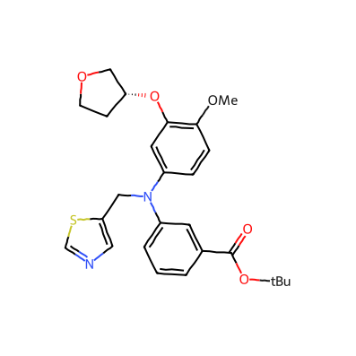 COc1ccc(N(Cc2cncs2)c2cccc(C(=O)OC(C)(C)C)c2)cc1O[C@@H]1CCOC1